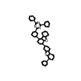 c1ccc(-c2nc(-c3ccccc3)nc(-c3cccc(-c4ccc(-c5ccc6c(c5)sc5c(-c7ccccc7)cccc56)c5oc6ccccc6c45)c3)n2)cc1